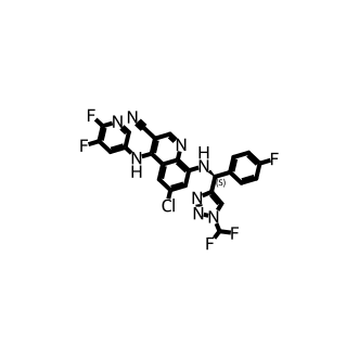 N#Cc1cnc2c(N[C@@H](c3ccc(F)cc3)c3cn(C(F)F)nn3)cc(Cl)cc2c1Nc1cnc(F)c(F)c1